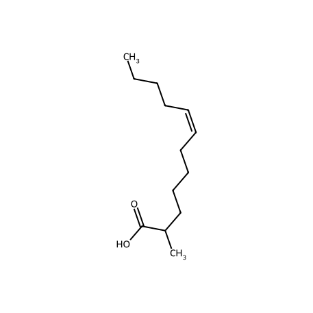 CCCC/C=C\CCCCC(C)C(=O)O